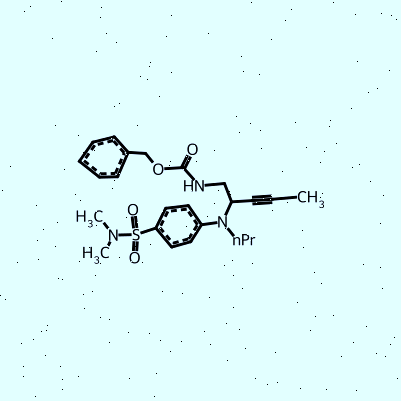 CC#CC(CNC(=O)OCc1ccccc1)N(CCC)c1ccc(S(=O)(=O)N(C)C)cc1